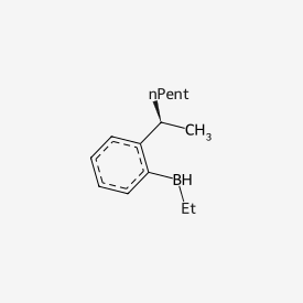 CCBc1ccccc1[C@H](C)CCCCC